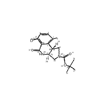 Cc1ccc(Cl)c2c1[C@@H]1CN(C(=O)OC(C)(C)C)C[C@H]1NC2=O